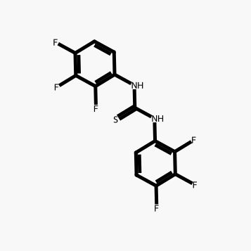 Fc1ccc(NC(=S)Nc2ccc(F)c(F)c2F)c(F)c1F